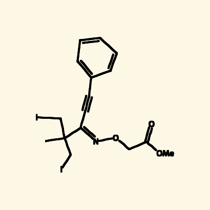 COC(=O)CO/N=C(\C#Cc1ccccc1)C(C)(CI)CI